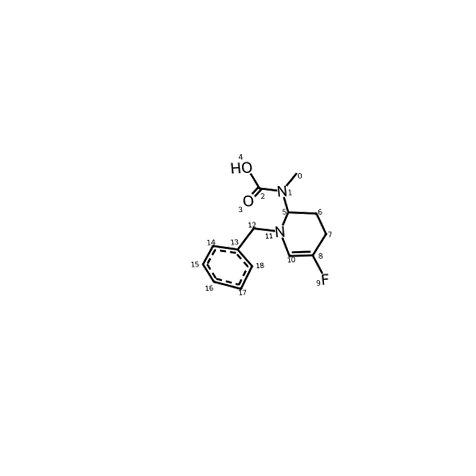 CN(C(=O)O)C1CCC(F)=CN1Cc1ccccc1